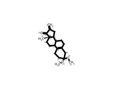 C=C1CC2C3CCC4=C(CCC(OC)(OC)C4)C3CC[C@]2(C)C1=O